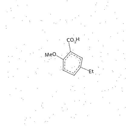 CCc1ccc(OC)c(C(=O)O)c1